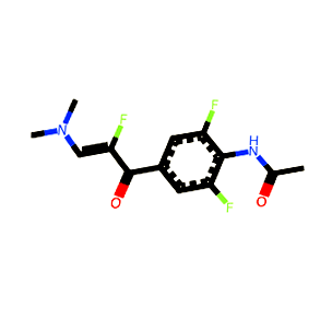 CC(=O)Nc1c(F)cc(C(=O)/C(F)=C/N(C)C)cc1F